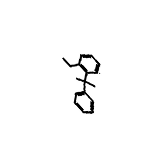 CCc1ccc[c]c1C(C)(C)c1ccccc1